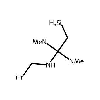 CNC(C[SiH3])(NC)NCC(C)C